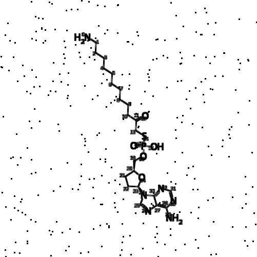 NCCCCCCCCCCC(=O)CSP(=O)(O)OC[C@@H]1CC[C@H](n2cnc3c(N)ncnc32)O1